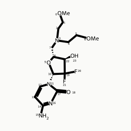 COCCN(CCOC)C[C@H]1O[C@@H](n2ccc(N)nc2=O)C(F)(F)[C@@H]1O